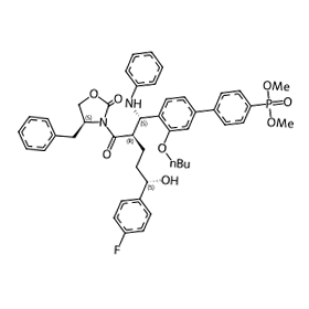 CCCCOc1cc(-c2ccc(P(=O)(OC)OC)cc2)ccc1[C@@H](Nc1ccccc1)[C@@H](CC[C@H](O)c1ccc(F)cc1)C(=O)N1C(=O)OC[C@@H]1Cc1ccccc1